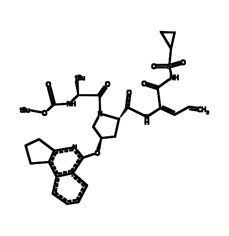 C=C/C=C(/NC(=O)[C@@H]1C[C@@H](Oc2nc3c(c4ccccc24)CCC3)CN1C(=O)[C@@H](NC(=O)OC(C)(C)C)C(C)(C)C)C(=O)NS(=O)(=O)C1CC1